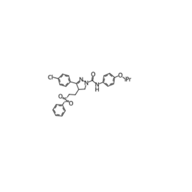 CC(C)Oc1ccc(NC(=O)N2CC(CCS(=O)(=O)c3ccccc3)C(c3ccc(Cl)cc3)=N2)cc1